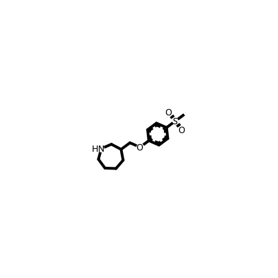 CS(=O)(=O)c1ccc(OCC2CCCCNC2)cc1